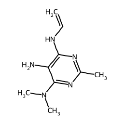 C=CNc1nc(C)nc(N(C)C)c1N